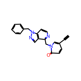 C#Cc1ccc(=O)n(Cc2nccc3c2cnn3Cc2ccccc2)c1